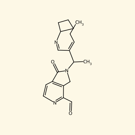 CC/C=C(\C=N/C1CCC1)C(C)N1Cc2c(ccnc2C=O)C1=O